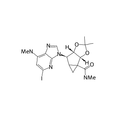 CNC(=O)C12CC1[C@@H](n1cnc3c(NC)cc(I)nc31)[C@@H]1OC(C)(C)O[C@@H]12